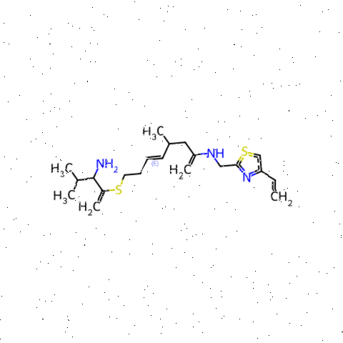 C=Cc1csc(CNC(=C)CC(C)/C=C/CCSC(=C)C(N)C(C)C)n1